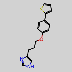 c1csc(-c2ccc(OCCCc3c[nH]cn3)cc2)c1